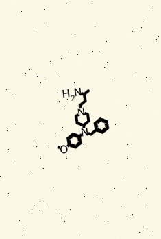 COc1ccc(N(Cc2ccccc2)C2CCN(CCC(C)N)CC2)cc1